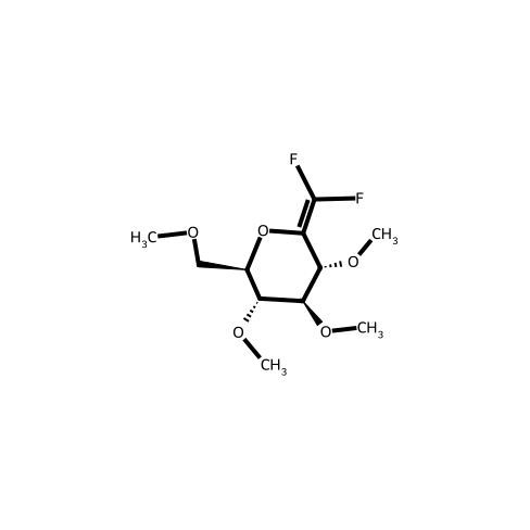 COC[C@H]1OC(=C(F)F)[C@H](OC)[C@@H](OC)[C@@H]1OC